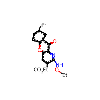 CCONc1nc2c(=O)c3cc(C(C)C)ccc3oc2cc1C(=O)OCC